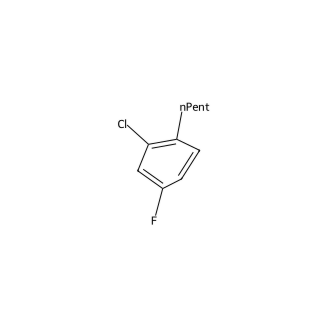 CCCCCc1ccc(F)cc1Cl